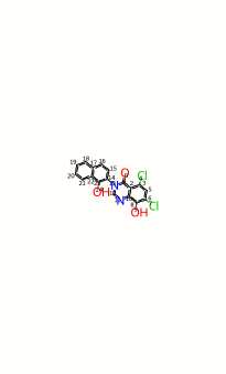 O=c1c2c(Cl)cc(Cl)c(O)c2ncn1-c1ccc2ccccc2c1O